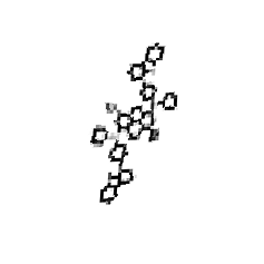 CCc1cc(N(c2ccccc2)c2ccc(-c3cccc4c3sc3ccccc34)cc2)c2ccc3c(CC)cc(N(c4ccccc4)c4ccc(-c5cccc6c5sc5ccccc56)cc4)c4ccc1c2c34